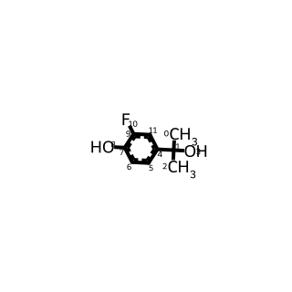 CC(C)(O)c1ccc(O)c(F)c1